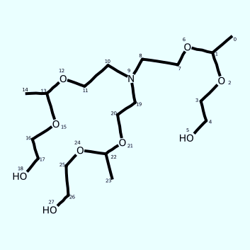 CC(OCCO)OCCN(CCOC(C)OCCO)CCOC(C)OCCO